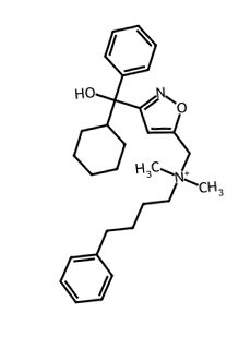 C[N+](C)(CCCCc1ccccc1)Cc1cc(C(O)(c2ccccc2)C2CCCCC2)no1